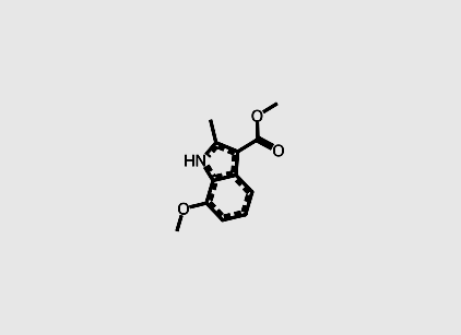 COC(=O)c1c(C)[nH]c2c(OC)cccc12